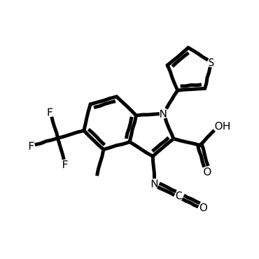 Cc1c(C(F)(F)F)ccc2c1c(N=C=O)c(C(=O)O)n2-c1ccsc1